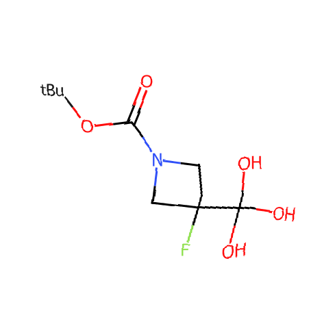 CC(C)(C)OC(=O)N1CC(F)(C(O)(O)O)C1